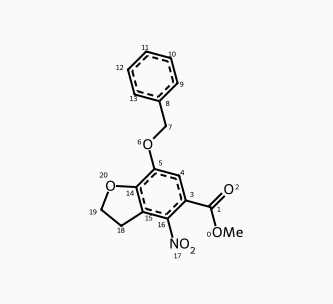 COC(=O)c1cc(OCc2ccccc2)c2c(c1[N+](=O)[O-])CCO2